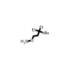 CCCCC(CC)(CC)CCO[SiH3]